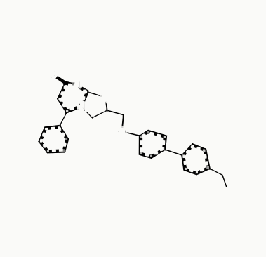 CCc1ccc(-c2ccc(OCC3Cn4c(-c5ccccc5)cc(=O)nc4O3)cc2)cc1